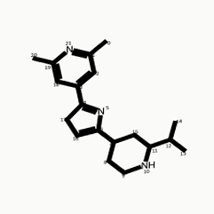 Cc1cc(C2=NC(C3CCNC(C(C)C)C3)=CC2)cc(C)n1